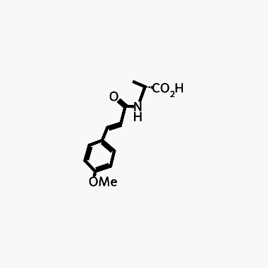 COc1ccc(/C=C/C(=O)N[C@H](C)C(=O)O)cc1